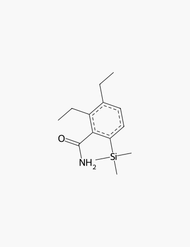 CCc1ccc([Si](C)(C)C)c(C(N)=O)c1CC